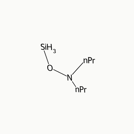 CCCN(CCC)O[SiH3]